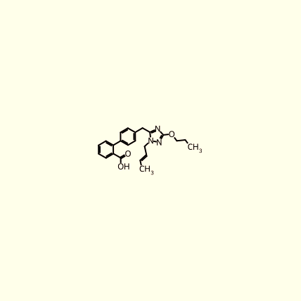 CC=CCn1nc(OCCC)nc1Cc1ccc(-c2ccccc2C(=O)O)cc1